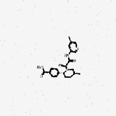 CNC(=O)c1ccc([C@H]2CC[C@H](C)CN2C(=O)C(=O)Nc2cncc(C)c2)cc1